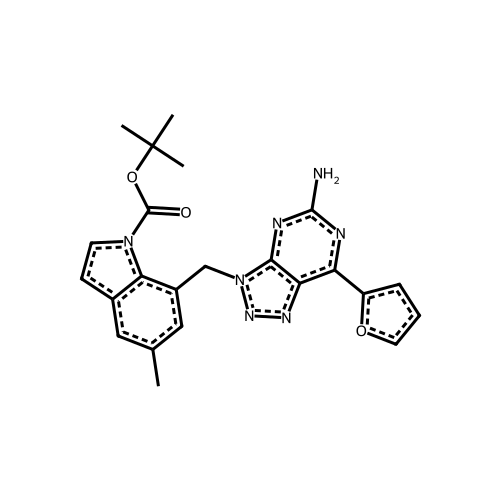 Cc1cc(Cn2nnc3c(-c4ccco4)nc(N)nc32)c2c(ccn2C(=O)OC(C)(C)C)c1